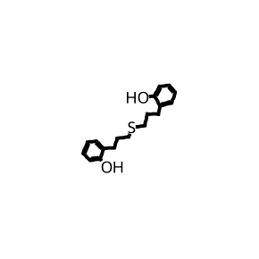 Oc1ccccc1CCCSCCCc1ccccc1O